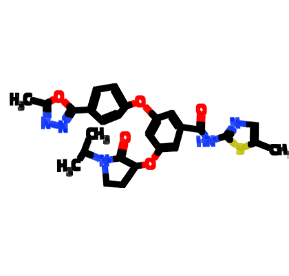 Cc1nnc(-c2ccc(Oc3cc(OC4CCN(C(C)C)C4=O)cc(C(=O)Nc4ncc(C)s4)c3)cc2)o1